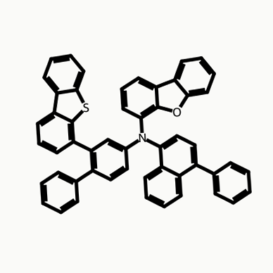 c1ccc(-c2ccc(N(c3ccc(-c4ccccc4)c4ccccc34)c3cccc4c3oc3ccccc34)cc2-c2cccc3c2sc2ccccc23)cc1